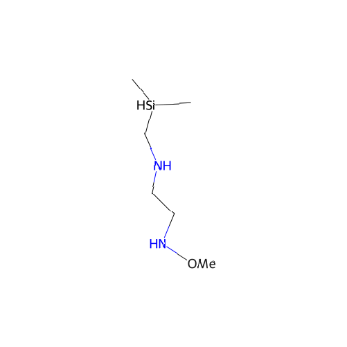 CONCCNC[SiH](C)C